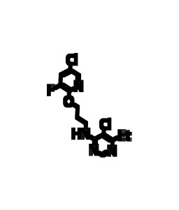 CCc1ncnc(NCCCOc2ncc(Cl)cc2F)c1Cl